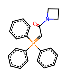 O=C(C=P(c1ccccc1)(c1ccccc1)c1ccccc1)N1CCC1